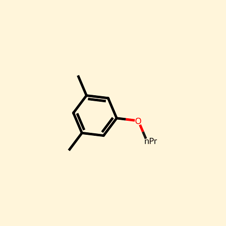 [CH2]CCOc1cc(C)cc(C)c1